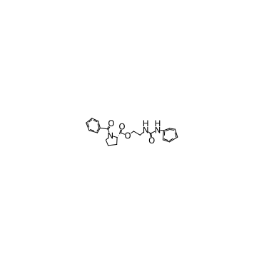 O=C(NCCOC(=O)[C@@H]1CCCN1C(=O)c1ccccc1)Nc1ccccc1